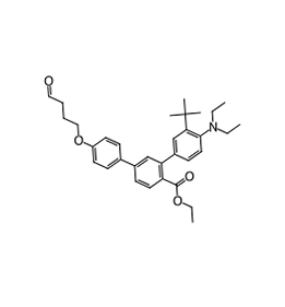 CCOC(=O)c1ccc(-c2ccc(OCCCC=O)cc2)cc1-c1ccc(N(CC)CC)c(C(C)(C)C)c1